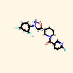 O=C(c1ccc(F)nc1)N1CCC[C@H](C2=CN(c3ccc(F)cc3F)NO2)C1